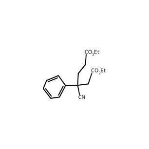 CCOC(=O)CCC(C#N)(CC(=O)OCC)c1ccccc1